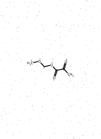 COCOC(=O)C(C)=O